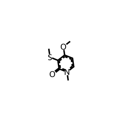 COc1ccn(C)c(=O)c1SC